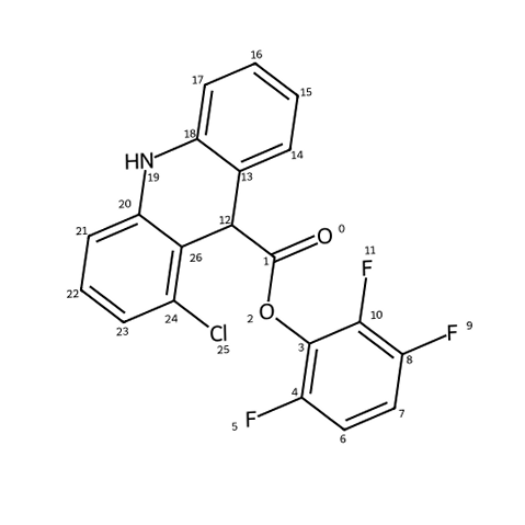 O=C(Oc1c(F)ccc(F)c1F)C1c2ccccc2Nc2cccc(Cl)c21